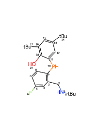 CC(C)(C)NCc1cc(F)ccc1Pc1cc(C(C)(C)C)cc(C(C)(C)C)c1O